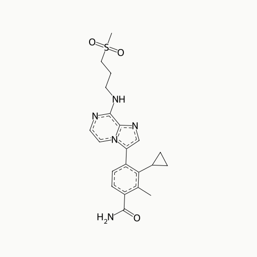 Cc1c(C(N)=O)ccc(-c2cnc3c(NCCCS(C)(=O)=O)nccn23)c1C1CC1